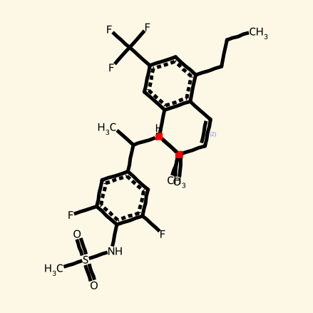 CCCc1cc(C(F)(F)F)cc(CCC)c1/C=C\C(=O)NC(C)c1cc(F)c(NS(C)(=O)=O)c(F)c1